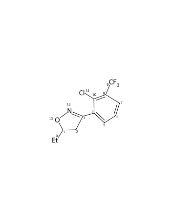 CCC1CC(c2cccc(C(F)(F)F)c2Cl)=NO1